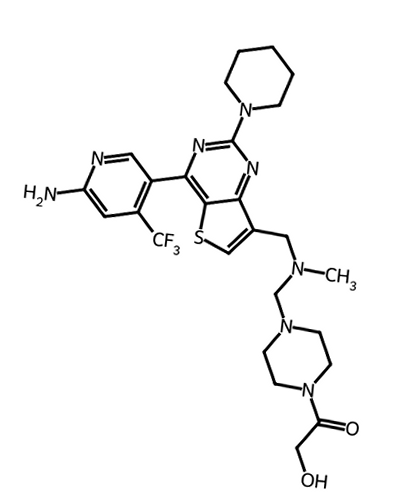 CN(Cc1csc2c(-c3cnc(N)cc3C(F)(F)F)nc(N3CCCCC3)nc12)CN1CCN(C(=O)CO)CC1